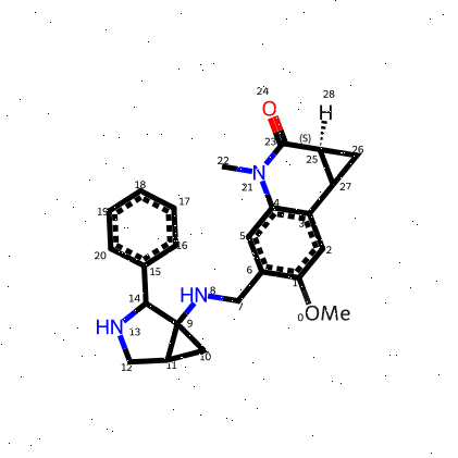 COc1cc2c(cc1CNC13CC1CNC3c1ccccc1)N(C)C(=O)[C@H]1CC21